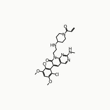 C=CC(=O)N1CCC(NCCn2c(=O)c(-c3c(Cl)c(OC)cc(OC)c3Cl)cc3cnc(NC)nc32)CC1